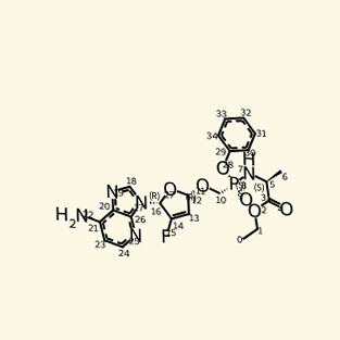 CCOC(=O)[C@H](C)N[P@](=O)(CO[C@@H]1C=C(F)[C@H](n2cnc3c(N)ccnc32)O1)Oc1ccccc1